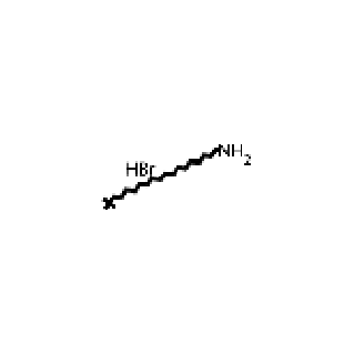 Br.CC(C)(C)CCCCCCCCCCCCCCCCCN